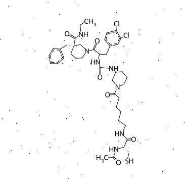 CCNC(=O)[C@]1(Cc2ccccc2)CCCN(C(=O)C(Cc2ccc(Cl)c(Cl)c2)NC(=O)N[C@@H]2CCCN(C(=O)CCCCCNC(=O)[C@H](CS)NC(C)=O)C2)C1